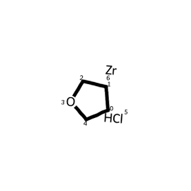 C1CCOC1.Cl.[Zr]